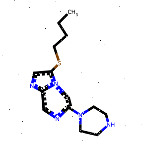 CCCCSc1cnc2cnc(N3CCNCC3)cn12